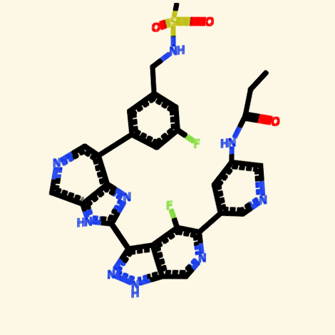 CCC(=O)Nc1cncc(-c2ncc3[nH]nc(-c4nc5c(-c6cc(F)cc(CNS(C)(=O)=O)c6)cncc5[nH]4)c3c2F)c1